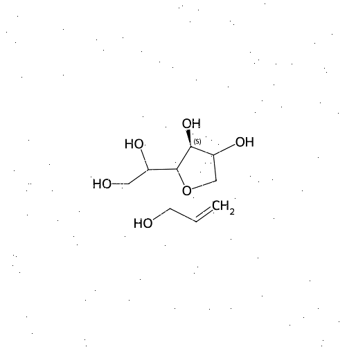 C=CCO.OCC(O)C1OCC(O)[C@@H]1O